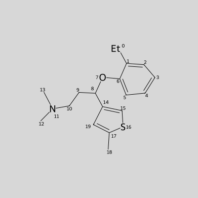 CCc1ccccc1OC(CCN(C)C)c1csc(C)c1